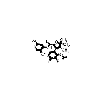 CC(=O)c1cc(NC(=O)[C@H]2OC(C)(C)[C@H](C)[C@@H]2c2ccc(F)c(F)c2OC(F)F)c(C)cn1